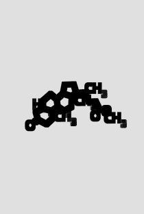 COC(=O)CCC(C)C1CCC2C3CC[C@@H]4CC(=O)CC[C@]4(C)C3CCC12C